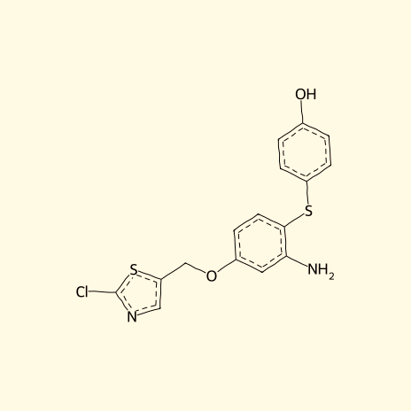 Nc1cc(OCc2cnc(Cl)s2)ccc1Sc1ccc(O)cc1